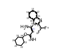 N=C(/C=C(\N)n1c(C(F)F)nc2ccccc21)OC1CCCCC1